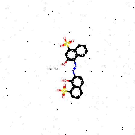 O=S(=O)([O-])c1cc(O)c(N=Nc2ccc3cccc(S(=O)(=O)[O-])c3c2O)c2ccccc12.[Na+].[Na+]